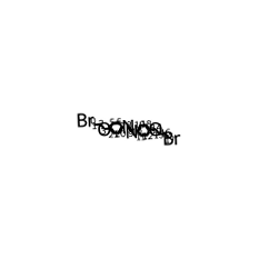 BrCCOc1ccc(N=Nc2ccc(OCCBr)cc2)cc1